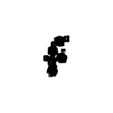 O=C1O[C@@H](CN2CCSCC2)[C@H](c2cccc(F)c2)N1c1ccc(Oc2ccc(Cl)cc2)cc1